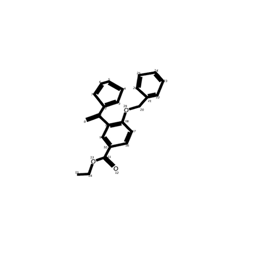 C=C(c1ccccc1)c1cc(C(=O)OCC)ccc1OCc1ccccc1